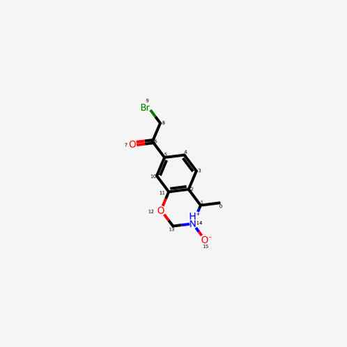 CC1c2ccc(C(=O)CBr)cc2OC[NH+]1[O-]